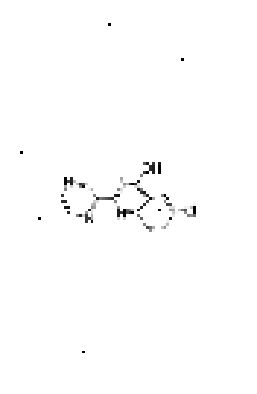 Oc1nc(-c2cnccn2)nc2ccc(Cl)cc12